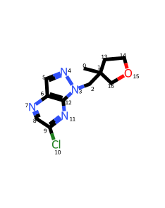 CC1(Cn2ncc3ncc(Cl)nc32)CCOC1